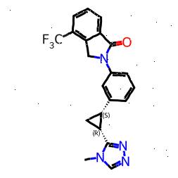 Cn1cnnc1[C@@H]1C[C@@H]1c1cccc(N2Cc3c(cccc3C(F)(F)F)C2=O)c1